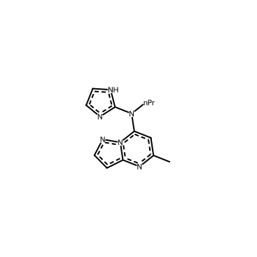 CCCN(c1ncc[nH]1)c1cc(C)nc2ccnn12